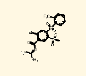 CCc1cc(S(=O)(=O)c2ccccc2C(F)(F)F)c(S(C)(=O)=O)cc1C(=O)N=C(N)N